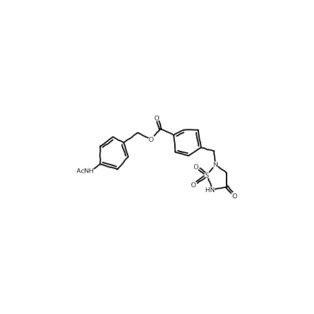 CC(=O)Nc1ccc(COC(=O)c2ccc(CN3CC(=O)NS3(=O)=O)cc2)cc1